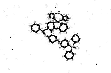 O=P(c1ccccc1)(c1ccccc1)c1ccc(-c2ccc3nc(-c4ccccc4)c4ccc5c(c4c3c2)-c2ccccc2C52c3ccccc3Oc3ccccc32)cc1